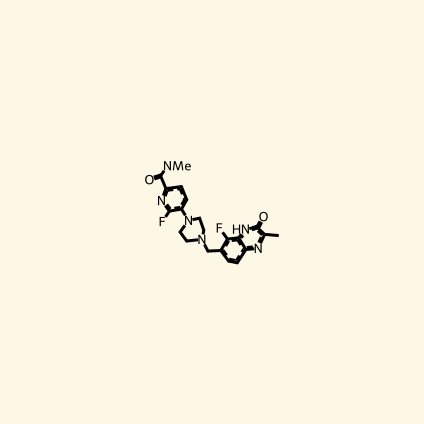 CNC(=O)c1ccc(N2CCN(Cc3ccc4nc(C)c(=O)[nH]c4c3F)CC2)c(F)n1